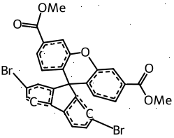 COC(=O)c1ccc2c(c1)Oc1cc(C(=O)OC)ccc1C21c2cc(Br)ccc2-c2ccc(Br)cc21